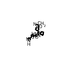 C=C(C#N)C(=O)N1CCCC(n2c(NC(=O)c3ccc(-c4cn[nH]c4)s3)nc3ccccc32)C1